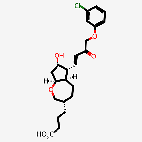 O=C(O)CCC[C@H]1CC[C@@H]2[C@@H](C=CC(=O)COc3cccc(Cl)c3)[C@H](O)C[C@@H]2OC1